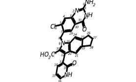 Nc1nc2cc(Cl)c(Cn3c(C(=O)O)c(-c4ccc[nH]c4=O)c4cc5c(cc43)CCC5)cc2c(=O)[nH]1